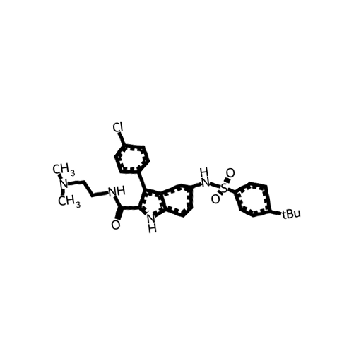 CN(C)CCNC(=O)c1[nH]c2ccc(NS(=O)(=O)c3ccc(C(C)(C)C)cc3)cc2c1-c1ccc(Cl)cc1